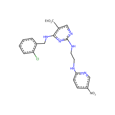 CCOC(=O)c1cnc(NCCNc2ccc([N+](=O)[O-])cn2)nc1NCc1ccccc1Cl